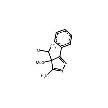 COC1(C(Cl)C(F)(F)F)C(N)=NN=C1c1ccccc1